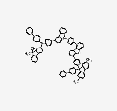 Cc1ccc2c(c1)C(c1ccc(-c3ccccc3)cc1)(c1ccc(-c3cccc4c3oc3cccc(-c5ccc(-n6c7ccccc7c7cc(-c8ccc(N(c9ccc(-c%10ccccc%10)cc9)c9ccc%10c(c9)C(C)(C)c9ccccc9-%10)cc8)ccc76)cc5)c34)cc1)c1cc(C)ccc1-2